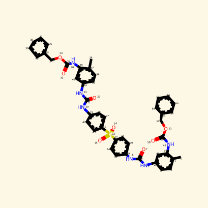 Cc1ccc(NC(=O)Nc2ccc(S(=O)(=O)c3ccc(NC(=O)Nc4ccc(C)c(NC(=O)OCc5ccccc5)c4)cc3)cc2)cc1NC(=O)OCc1ccccc1